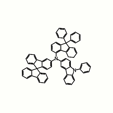 C1=CC2=C(CC1)c1c(N(c3ccc4c(c3)-c3ccccc3C43c4ccccc4-c4ccccc43)c3ccc4c(c3)c3ccccc3n4-c3ccccc3)cccc1C2(c1ccccc1)c1ccccc1